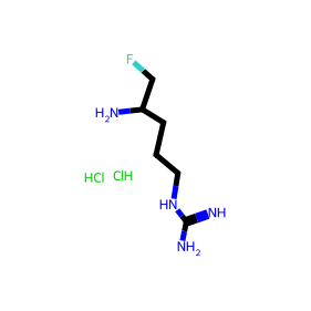 Cl.Cl.N=C(N)NCCCC(N)CF